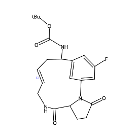 CC(C)(C)OC(=O)NC1C/C=C/CNC(=O)C2CCC(=O)N2c2cc(F)cc1c2